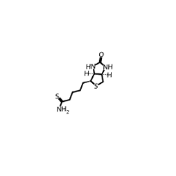 NC(=S)CCCC[C@@H]1SC[C@@H]2NC(=O)N[C@@H]21